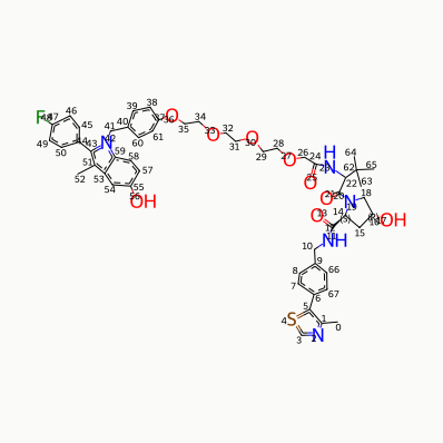 Cc1ncsc1-c1ccc(CNC(=O)[C@@H]2C[C@@H](O)CN2C(=O)C(NC(=O)COCCOCCOCCOc2ccc(Cn3c(-c4ccc(F)cc4)c(C)c4cc(O)ccc43)cc2)C(C)(C)C)cc1